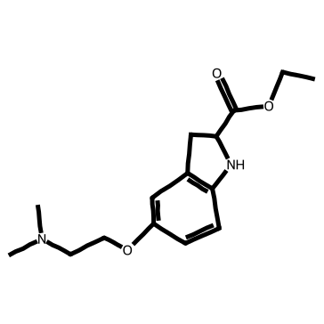 CCOC(=O)C1Cc2cc(OCCN(C)C)ccc2N1